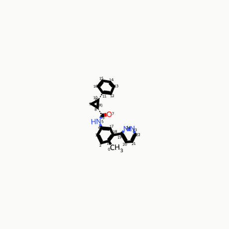 Cc1ccc(NC(=O)[C@@H]2C[C@@H]2c2ccccc2)cc1-c1cccnn1